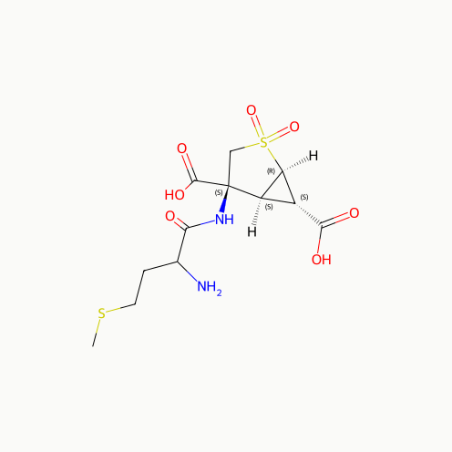 CSCCC(N)C(=O)N[C@@]1(C(=O)O)CS(=O)(=O)[C@H]2[C@H](C(=O)O)[C@H]21